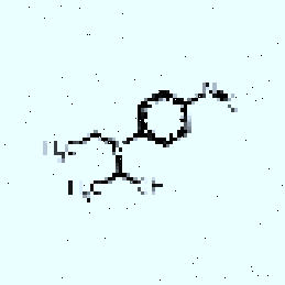 CCN(c1ccc(N=O)cc1)C(C)O